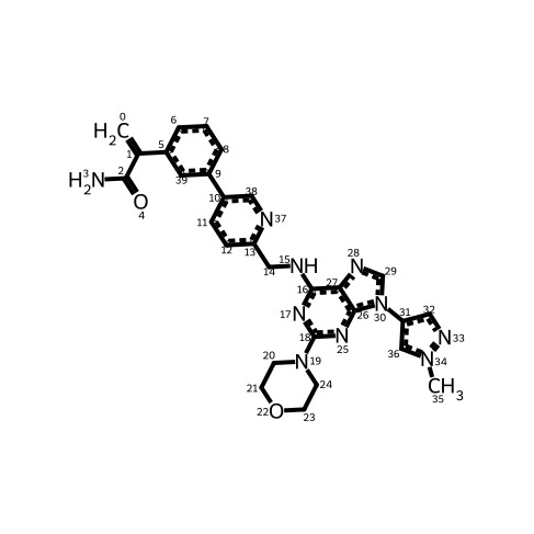 C=C(C(N)=O)c1cccc(-c2ccc(CNc3nc(N4CCOCC4)nc4c3ncn4-c3cnn(C)c3)nc2)c1